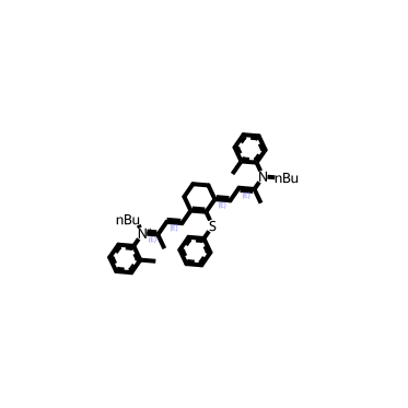 CCCCN(/C(C)=C/C=C1\CCCC(/C=C/C(C)=[N+](\CCCC)c2ccccc2C)=C1Sc1ccccc1)c1ccccc1C